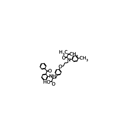 C=C(C)C(=O)N(CCCOc1ccc(CC(Nc2ccccc2C(=O)c2ccccc2)C(=O)O)cc1)c1ccc(C)cc1